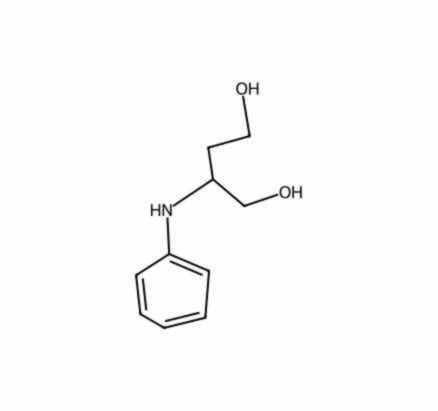 OCCC(CO)Nc1ccccc1